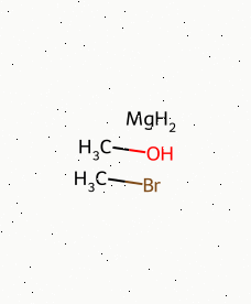 CBr.CO.[MgH2]